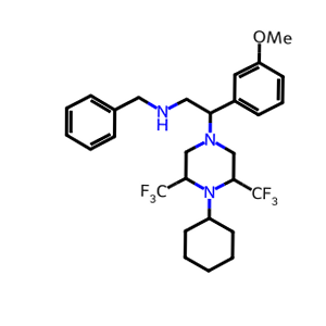 COc1cccc(C(CNCc2ccccc2)N2CC(C(F)(F)F)N(C3CCCCC3)C(C(F)(F)F)C2)c1